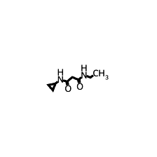 CCNC(=O)CC(=O)NC1CC1